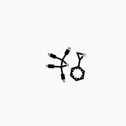 N#CC1(C#N)OC1(C#N)C#N.c1ccc(C2CO2)cc1